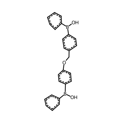 OB(c1ccccc1)c1ccc(COc2ccc(B(O)c3ccccc3)cc2)cc1